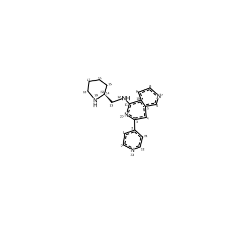 c1cc(-c2cc3cnccc3c(NC[C@@H]3CCCCN3)n2)ccn1